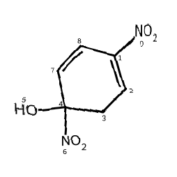 O=[N+]([O-])C1=CCC(O)([N+](=O)[O-])C=C1